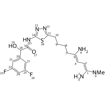 CN/C(N)=C/C=C(\N)CCCCc1nnc(NC(=O)C(O)c2cc(F)cc(F)c2)s1